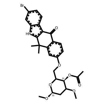 COC1C[C@@H](OC)OC(COc2ccc3c(c2)C(C)(C)c2[nH]c4cc(Br)ccc4c2C3=O)[C@H]1OC(C)=O